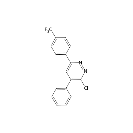 FC(F)(F)c1ccc(-c2cc(-c3ccccc3)c(Cl)nn2)cc1